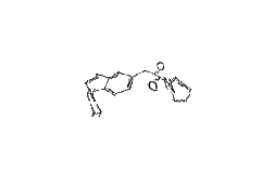 O=S(=O)(Cc1ccc2[nH]ccc2c1)n1cccc1